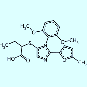 CCC(Sc1cnc(-c2ccc(C)o2)n1-c1c(OC)cccc1OC)C(=O)O